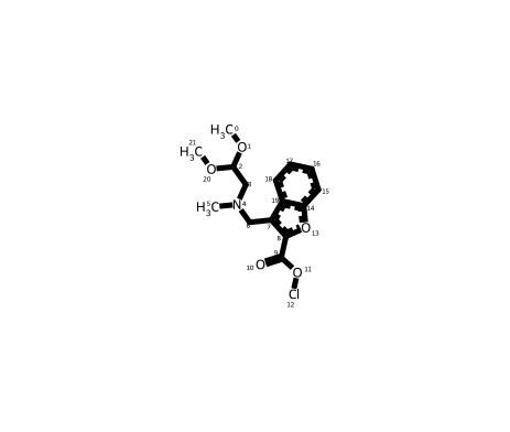 COC(CN(C)Cc1c(C(=O)OCl)oc2ccccc12)OC